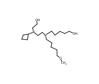 COCCCCCN(CCCCCO)CCN(CCO)C1CCC1